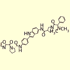 CN(C)[C@@H](C(=O)N1CCC(C(=O)Nc2ccc3[nH]c(-c4ccc(NC(=O)[C@@H]5CCCN5C(=O)c5ncco5)cc4)cc3c2)C1)c1ccccc1